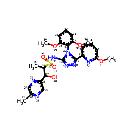 COc1cccc(-c2nnc(NS(=O)(=O)C(C)C(O)c3cnc(C)cn3)n2-c2c(OC)cccc2OC)n1